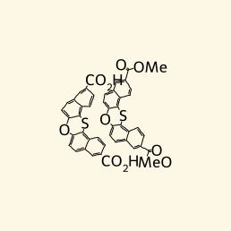 COC(=O)c1ccc2c3c(ccc2c1)Oc1ccc2cc(C(=O)OC)ccc2c1S3.O=C(O)c1ccc2c3c(ccc2c1)Oc1ccc2cc(C(=O)O)ccc2c1S3